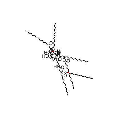 CCCCCCCCCCCCCC(=O)O[C@H](CCCCCCCCCCC)CC(=O)NCCO[C@H]1O[C@H](CO)[C@](O)(P(=O)(O)O)[C@@](O)(C(=O)C[C@@H](CCCCCCCCCCC)OC(=O)CCCCCCCCCCCCC)[C@@H]1NC(=O)C[C@@H](CCCCCCCCCCC)OC(=O)CCCCCCCCCCCCC